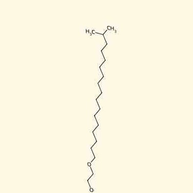 CC(C)CCCCCCCCCCCCCCCOCC[O]